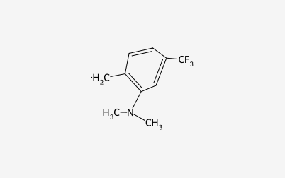 [CH2]c1ccc(C(F)(F)F)cc1N(C)C